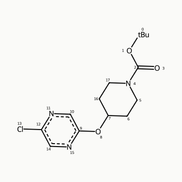 CC(C)(C)OC(=O)N1CCC(Oc2cnc(Cl)cn2)CC1